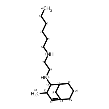 CCCCCCNCCNC1C(C)C=C2CCCC1C2